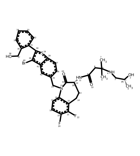 C[C@@H](O)CNC(C)(C)CC(=O)N[C@@H]1CCc2c(ccc(F)c2F)N(Cc2ccc3sc(-c4ccccc4CO)c(Br)c3c2)C1=O